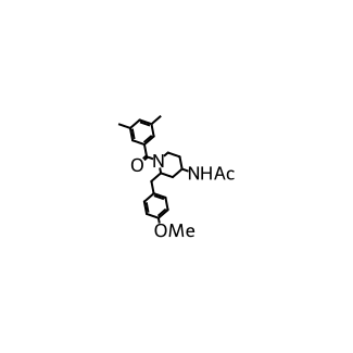 COc1ccc(CC2CC(NC(C)=O)CCN2C(=O)c2cc(C)cc(C)c2)cc1